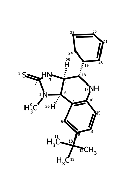 CN1C(=S)N[C@@H]2[C@H]1c1cc(C(C)(C)C)ccc1N[C@H]2C1C=CC=CC1